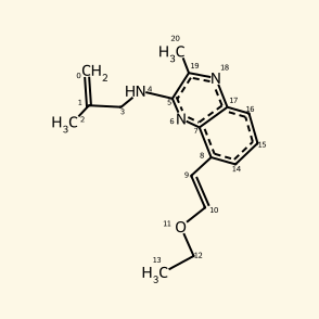 C=C(C)CNc1nc2c(C=COCC)cccc2nc1C